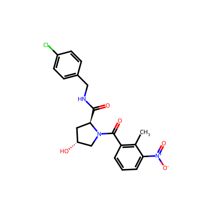 Cc1c(C(=O)N2C[C@H](O)C[C@H]2C(=O)NCc2ccc(Cl)cc2)cccc1[N+](=O)[O-]